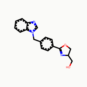 OCC1COC(c2ccc(Cn3cnc4ccccc43)cc2)=N1